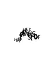 CCc1nc2ccc(C3CCNCC3)nn2c1CNc1nc(-c2ccc(F)cc2C#N)c(C)s1